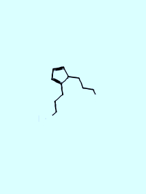 CCCC[C]1C=CC=C1CCCC